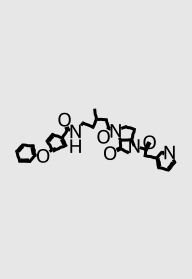 CC(CCNC(=O)c1ccc(Oc2ccccc2)cc1)CC(=O)N1CCC2C1C(=O)CN2C(=O)Cc1cccnc1